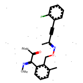 CNC(=O)/C(=N/OC)c1cccc(C)c1CO/N=C(\C)C#Cc1ccccc1F